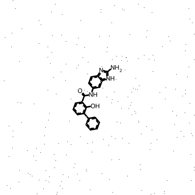 Nc1nc2ccc(NC(=O)c3cccc(-c4ccccc4)c3O)cc2[nH]1